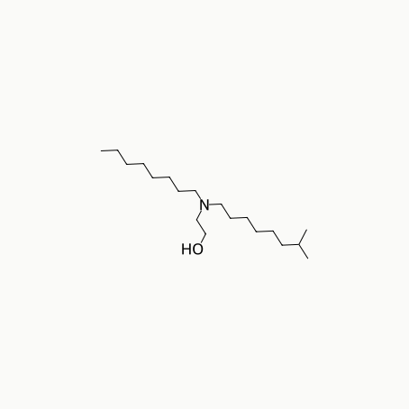 CCCCCCCCN(CCO)CCCCCCC(C)C